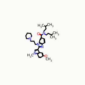 COc1ccc2c(c1)c(-c1nc3ccc(C(=O)N(CCC(C)C)CCC(C)C)cc3n1CCCN1CCCCC1)cn2C